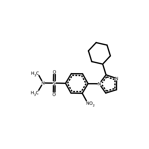 CN(C)S(=O)(=O)c1ccc(-n2ccnc2C2CCCCC2)c([N+](=O)[O-])c1